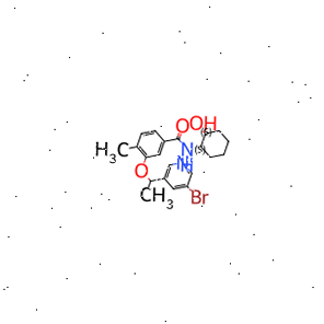 Cc1ccc(C(=O)N[C@H]2CCCC[C@@H]2O)cc1OC(C)c1cncc(Br)c1